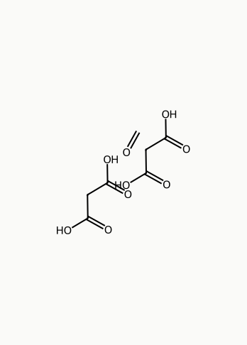 C=O.O=C(O)CC(=O)O.O=C(O)CC(=O)O